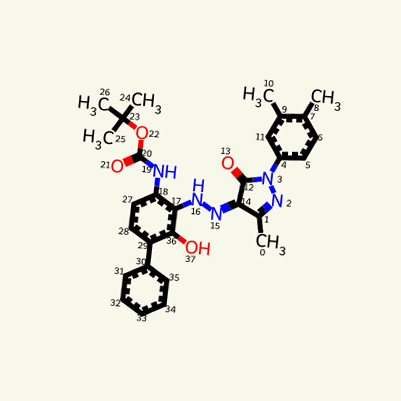 CC1=NN(c2ccc(C)c(C)c2)C(=O)C1=NNc1c(NC(=O)OC(C)(C)C)ccc(-c2ccccc2)c1O